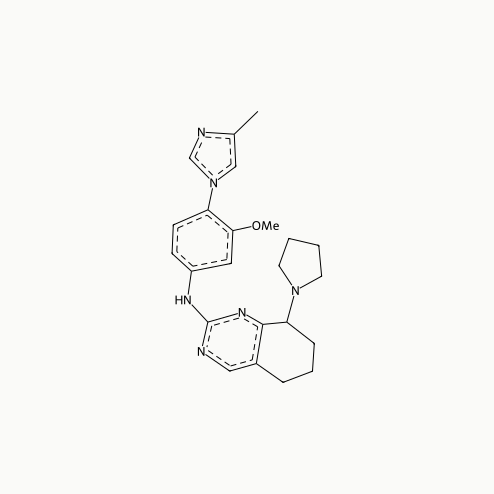 COc1cc(Nc2ncc3c(n2)C(N2CCCC2)CCC3)ccc1-n1cnc(C)c1